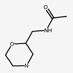 CC(=O)NCC1C[N]CCO1